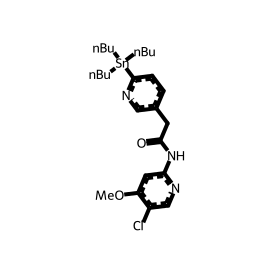 CCC[CH2][Sn]([CH2]CCC)([CH2]CCC)[c]1ccc(CC(=O)Nc2cc(OC)c(Cl)cn2)cn1